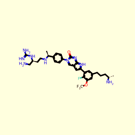 C[C@H](N)CCCc1cc(OC(F)(F)F)c(F)c(-c2cc3cn(-c4ccc([C@H](C)NCC[C@@H](CN)NC(=N)N)cc4)c(=O)nc3[nH]2)c1